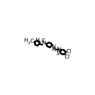 Cc1ccc(CN(C)c2ccc(N=Nc3nc4cc(Cl)c(Cl)cc4s3)cc2)cc1